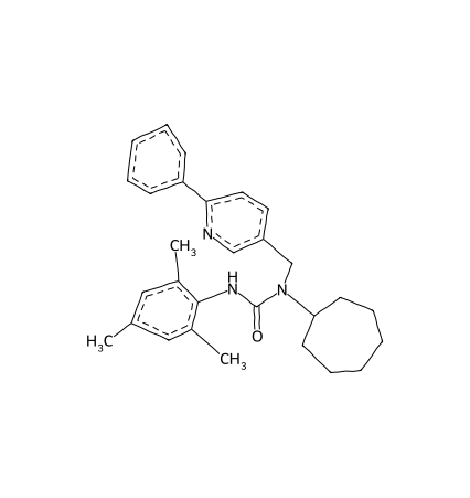 Cc1cc(C)c(NC(=O)N(Cc2ccc(-c3ccccc3)nc2)C2CCCCCC2)c(C)c1